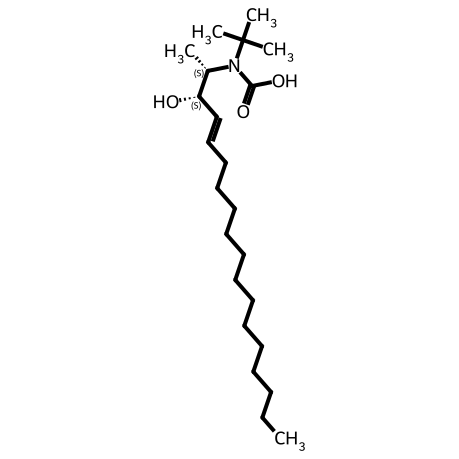 CCCCCCCCCCCCCC=C[C@H](O)[C@H](C)N(C(=O)O)C(C)(C)C